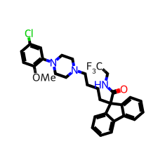 COc1ccc(Cl)cc1N1CCN(CCCCC2(C(=O)NCC(F)(F)F)c3ccccc3-c3ccccc32)CC1